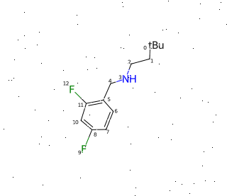 CC(C)(C)CCNCc1ccc(F)cc1F